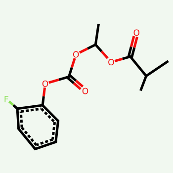 CC(OC(=O)Oc1ccccc1F)OC(=O)C(C)C